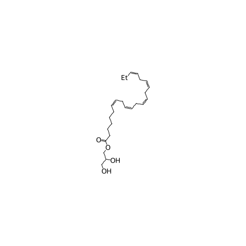 CC/C=C\C/C=C\C/C=C\C/C=C\C/C=C\CCCCCC(=O)OCC(O)CO